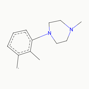 [CH2]c1cccc(N2CCN(C)CC2)c1C